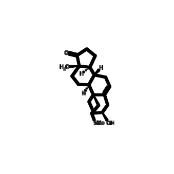 CSCC[C@]12CC[C@H](O)CC1=CC[C@@H]1[C@@H]2CC[C@]2(C)C(=O)CC[C@@H]12